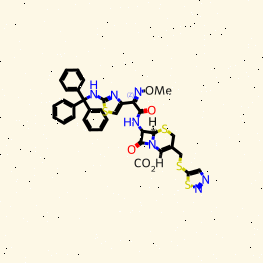 CO/N=C(\C(=O)NC1C(=O)N2C(C(=O)O)=C(CSc3cnns3)CS[C@H]12)c1csc(NC(c2ccccc2)(c2ccccc2)c2ccccc2)n1